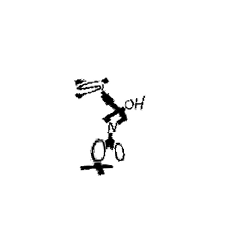 CC(C)(C)OC(=O)N1CC(O)(C#C[Si](C)(C)C)C1